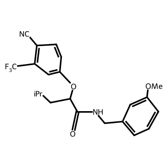 COc1cccc(CNC(=O)C(CC(C)C)Oc2ccc(C#N)c(C(F)(F)F)c2)c1